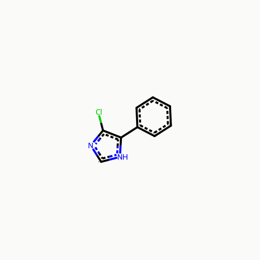 Clc1n[c][nH]c1-c1ccccc1